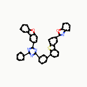 c1ccc(-c2nc(-c3cccc(-c4cccc5c4sc4ccc(-c6nc7ccccc7o6)cc45)c3)nc(-c3ccc4oc5ccccc5c4c3)n2)cc1